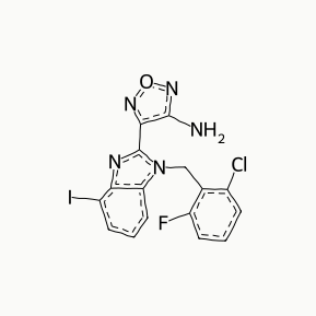 Nc1nonc1-c1nc2c(I)cccc2n1Cc1c(F)cccc1Cl